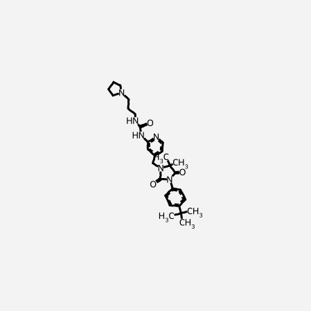 CC(C)(C)c1ccc(N2C(=O)N(Cc3ccnc(NC(=O)NCCCN4CCCC4)c3)C(C)(C)C2=O)cc1